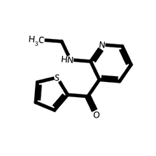 CCNc1ncccc1C(=O)c1cccs1